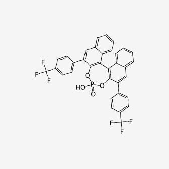 O=P1(O)Oc2c(-c3ccc(C(F)(F)F)cc3)cc3ccccc3c2-c2c(c(-c3ccc(C(F)(F)F)cc3)cc3ccccc23)O1